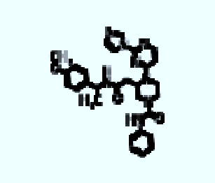 COc1ccc(C(C)NC(=O)CC2CN(C(=O)Nc3ccccc3)CCN2c2ccnc(-n3ccnc3)n2)cc1